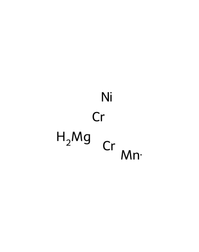 [Cr].[Cr].[MgH2].[Mn].[Ni]